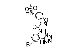 CS(=O)(=O)Nc1ccc2onc(C(=O)Nc3ccc(Br)cc3-c3nnn[nH]3)c2c1